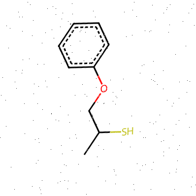 CC(S)COc1cc[c]cc1